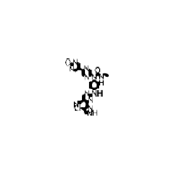 CCNC(=O)N(c1cnc(-c2cnc(OC)nc2)cn1)C1CCC(Nc2ncc(C#N)c(-c3n[nH]cc3Cl)n2)CC1